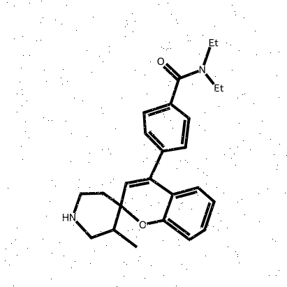 CCN(CC)C(=O)c1ccc(C2=CC3(CCNCC3C)Oc3ccccc32)cc1